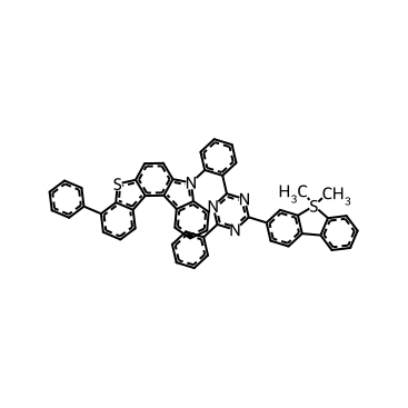 CS1(C)c2ccccc2-c2ccc(-c3nc(-c4ccccc4)nc(-c4ccccc4-n4c5ccccc5c5c6c(ccc54)sc4c(-c5ccccc5)cccc46)n3)cc21